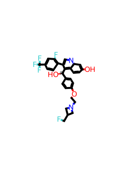 Oc1ccc2c([C@H](O)c3ccc(OCCN4CC(CF)C4)cc3)c(-c3ccc(C(F)(F)F)cc3F)cnc2c1